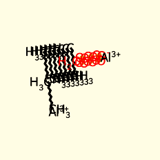 CCCCCCCCCC.CCCCCCCCCC.CCCCCCCCCC.CCCCCCCCCC.CCCCCCCCCC.CCCCCCCCCC.CCCCCCCCCC.CCCCCCCCCC.O.O=S(=O)([O-])[O-].O=S(=O)([O-])[O-].O=S(=O)([O-])[O-].[Al+3].[Al+3]